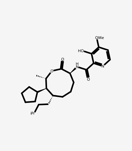 COc1ccnc(C(=O)N[C@H]2CCC[C@H](CCC(C)C)[C@@H](C3CCCC3)[C@H](C)OC2=O)c1O